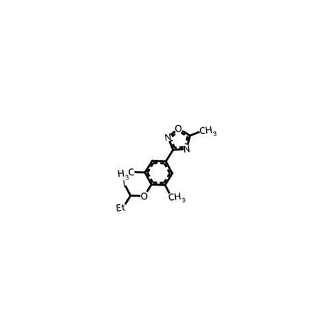 CCC(I)Oc1c(C)cc(-c2noc(C)n2)cc1C